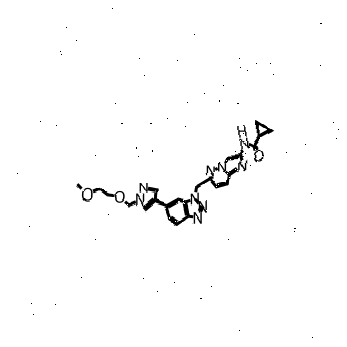 COCCOCn1cc(-c2ccc3nnn(Cc4ccc5nc(NC(=O)C6CC6)cn5n4)c3c2)cn1